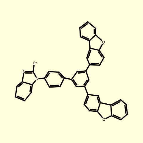 CCc1nc2ccccc2n1-c1ccc(-c2cc(-c3ccc4oc5ccccc5c4c3)cc(-c3ccc4oc5ccccc5c4c3)c2)cc1